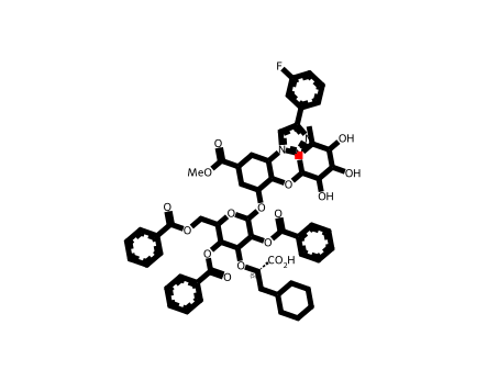 COC(=O)C1CC(OC2OC(COC(=O)c3ccccc3)C(OC(=O)c3ccccc3)C(O[C@@H](CC3CCCCC3)C(=O)O)C2OC(=O)c2ccccc2)C(OC2OC(C)C(O)C(O)C2O)C(n2cc(-c3cccc(F)c3)nn2)C1